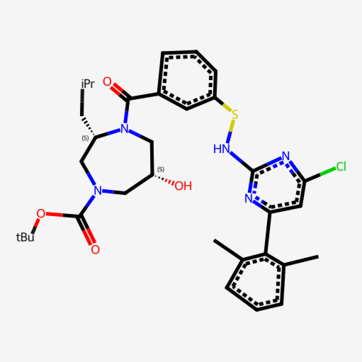 Cc1cccc(C)c1-c1cc(Cl)nc(NSc2cccc(C(=O)N3C[C@H](O)CN(C(=O)OC(C)(C)C)C[C@@H]3CC(C)C)c2)n1